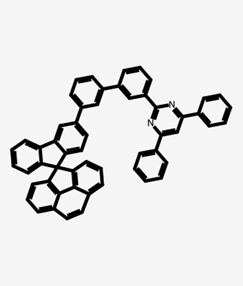 c1ccc(-c2cc(-c3ccccc3)nc(-c3cccc(-c4cccc(-c5ccc6c(c5)-c5ccccc5C65c6cccc7ccc8cccc5c8c67)c4)c3)n2)cc1